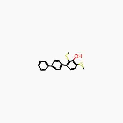 CSc1ccc(-c2ccc(-c3ccccc3)cc2)c(SC)c1O